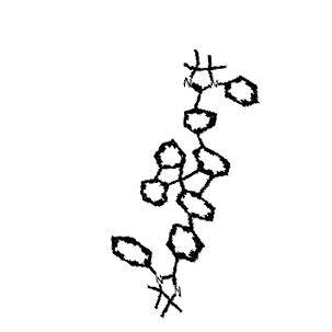 CC1(C)N=C(c2ccc(-c3ccc4c(c3)C3(c5ccccc5-c5ccccc53)c3cc(-c5ccc(C6=NC(C)(C)C(C)(C)N6c6ccccc6)cc5)ccc3-4)cc2)N(c2ccccc2)C1(C)C